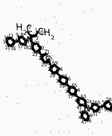 C=C/C=C(\C=C)N(c1ccc(-c2ccccc2)cc1)c1ccc(-c2ccc(-c3ccc(-c4ccc(-c5ccc(-c6ccc(N(c7ccccc7)c7ccc(-c8ccccc8)cc7)cc6)cc5)cc4)cc3)cc2)cc1